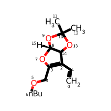 C=CC1=C(COCCCC)O[C@@H]2OC(C)(C)OC12